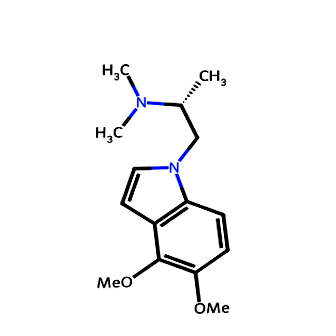 COc1ccc2c(ccn2C[C@@H](C)N(C)C)c1OC